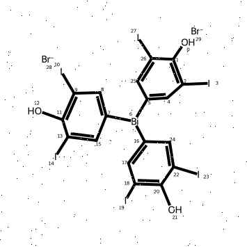 Oc1c(I)c[c]([Bi]([c]2cc(I)c(O)c(I)c2)[c]2cc(I)c(O)c(I)c2)cc1I.[Br-].[Br-]